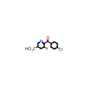 O=C(O)c1cnc(C(=O)c2ccc(Cl)cc2)c(F)c1